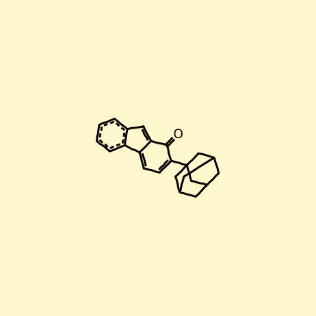 O=C1C2=Cc3ccccc3C2=CC=C1C12CC3CC(CC(C3)C1)C2